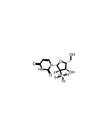 [2H][13C]([2H])([2H])[C@@]1(F)[C@H](O)[C@@H](CO)O[C@H]1n1ccc(=O)[nH]c1=O